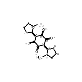 CN1CCSC1=c1c(=O)c(=O)c(=C2SCCN2C)c(=O)c1=O